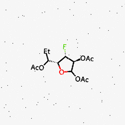 CCC(OC(C)=O)[C@H]1OC(OC(C)=O)[C@H](OC(C)=O)[C@H]1F